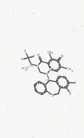 Cc1cn2c(c(O)c1=O)C(=O)N([C@H](C)C(F)(F)F)CN2[C@@H]1c2ccccc2SCc2c1ccc(F)c2F